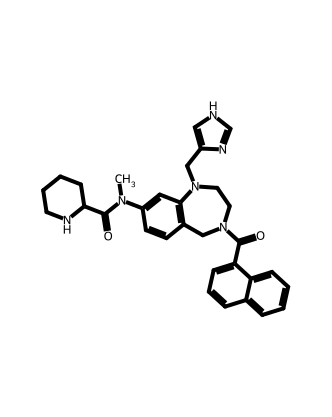 CN(C(=O)C1CCCCN1)c1ccc2c(c1)N(Cc1c[nH]cn1)CCN(C(=O)c1cccc3ccccc13)C2